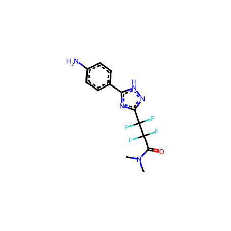 CN(C)C(=O)C(F)(F)C(F)(F)c1n[nH]c(-c2ccc(N)cc2)n1